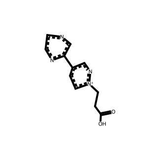 O=C(O)CC[n+]1ccc(-c2cnccn2)cn1